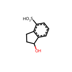 O=S(=O)(O)c1cccc2c1CCC2O